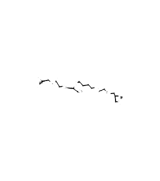 C(CSCC1CSS1)SCCC1CSC(CSCCSCC2CS2)CS1